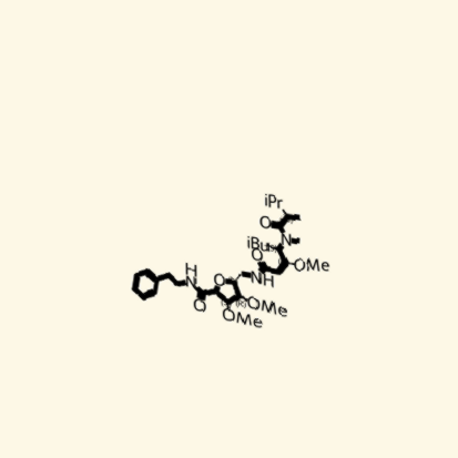 CC[C@H](C)C([C@@H](CC(=O)NC[C@H]1OC(C(=O)NCCc2ccccc2)[C@@H](OC)[C@@H]1OC)OC)N(C)C(=O)[C@@H](C)C(C)C